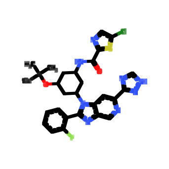 CC(C)(C)[Si](C)(C)OC1CC(NC(=O)c2ncc(Cl)s2)CC(n2c(-c3ccccc3F)nc3cnc(-c4nc[nH]n4)cc32)C1